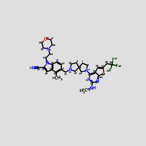 CNc1nc(N2CCC3(CCN(Cc4ccc5c(cc(C#N)n5CCN5CCOCC5)c4C)C3)C2)c2cc(CC(F)(F)F)sc2n1